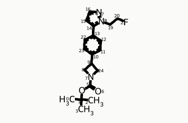 CC(C)(C)OC(=O)N1CC(c2ccc(-c3ccnn3CCF)cc2)C1